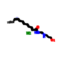 CCCCCCCC/C=C\CCCCCCCC(=O)NCNCCCO.Cl